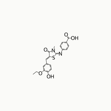 CCOc1cc(/C=C2\S/C(=N/c3ccc(C(=O)O)cc3)N(C)C2=O)ccc1O